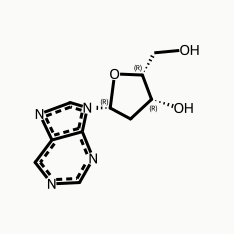 OC[C@H]1O[C@@H](n2cnc3cncnc32)C[C@H]1O